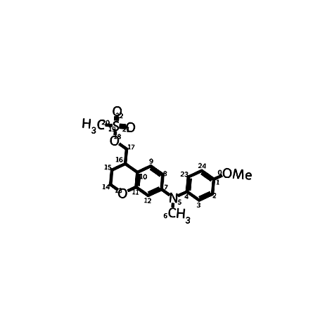 COc1ccc(N(C)c2ccc3c(c2)OCCC3COS(C)(=O)=O)cc1